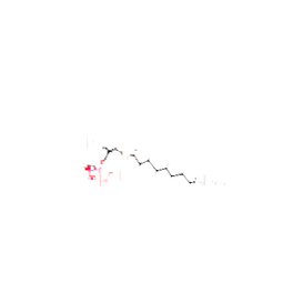 CCCCCCCCCCCCCCCCCCSCC(CCCC)COP(=O)(O)O